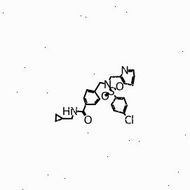 O=C(NCC1CC1)c1ccc(CN(Cc2ccccn2)S(=O)(=O)c2ccc(Cl)cc2)cc1